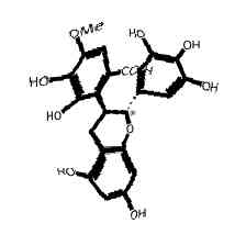 COc1cc(C(=O)O)c(C2Cc3c(O)cc(O)cc3O[C@H]2c2cc(O)c(O)c(O)c2)c(O)c1O